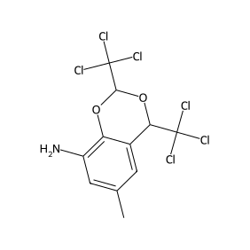 Cc1cc(N)c2c(c1)C(C(Cl)(Cl)Cl)OC(C(Cl)(Cl)Cl)O2